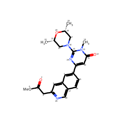 COC(=O)Cc1cc2cc(-c3cc(=O)n(C)c(N4C[C@@H](C)O[C@@H](C)C4)n3)ccc2cn1